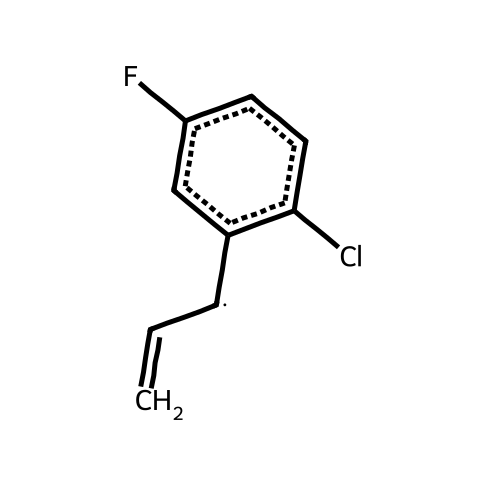 C=C[CH]c1cc(F)ccc1Cl